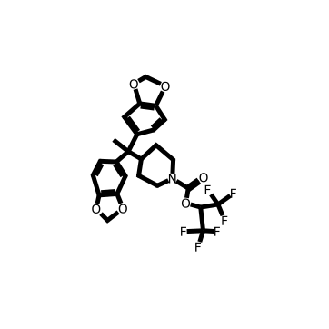 CC(c1ccc2c(c1)OCO2)(c1ccc2c(c1)OCO2)C1CCN(C(=O)OC(C(F)(F)F)C(F)(F)F)CC1